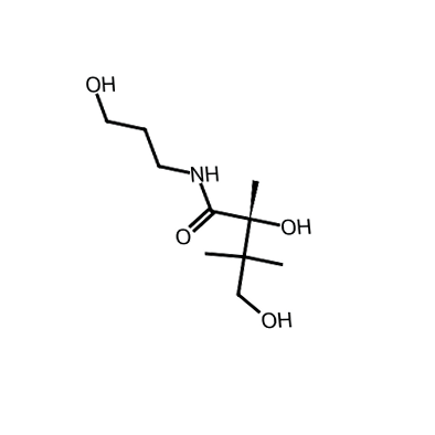 CC(C)(CO)[C@@](C)(O)C(=O)NCCCO